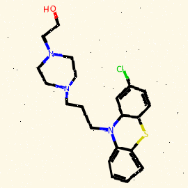 OCCN1CCN(CCCN2c3ccccc3SC3C=CC(Cl)=CC32)CC1